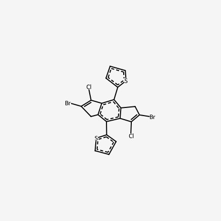 ClC1=C(Br)Cc2c1c(-c1cccs1)c1c(c2-c2cccs2)C(Cl)=C(Br)C1